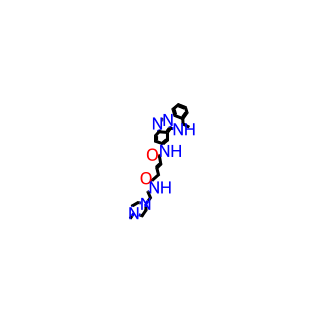 CC(Nc1ncnc2ccc(NC(=O)C=CCC(=O)NCCN3CCN(C)CC3)cc12)c1ccccc1